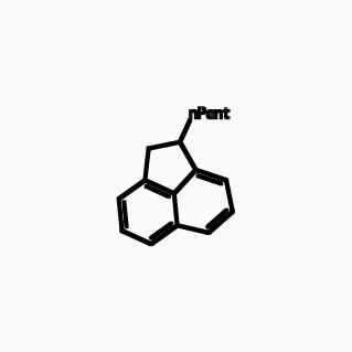 CCCCCC1Cc2cccc3cccc1c23